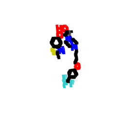 Cc1nc2cc(OC([C@@H](C)O)N3CCN(CCCCOc4ccc(C(F)(F)F)cc4)CC3)ccc2s1